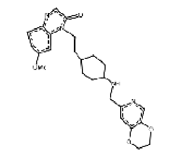 COc1ccc2ncc(=O)n(CCC3CCC(NCc4cc5c(cn4)OCCO5)CC3)c2c1